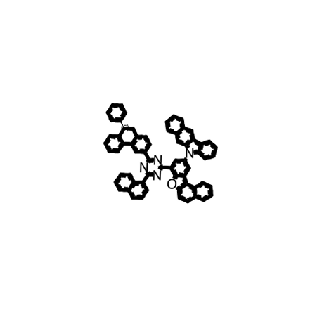 c1ccc([C@@H]2Cc3ccc(-c4nc(-c5cccc6ccccc56)nc(-c5cc(-n6c7ccccc7c7cc8ccccc8cc76)cc6c5oc5ccc7ccccc7c56)n4)cc3-c3ccccc32)cc1